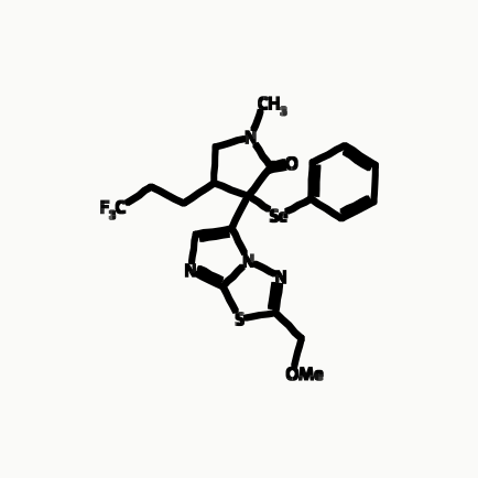 COCc1nn2c(C3([Se]c4ccccc4)C(=O)N(C)CC3CCC(F)(F)F)cnc2s1